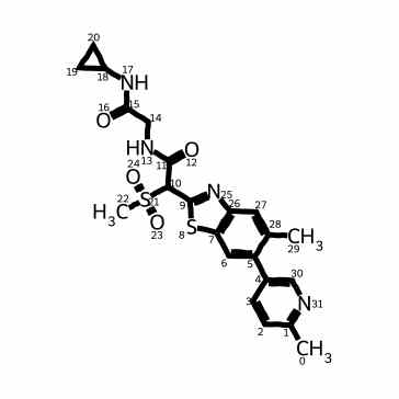 Cc1ccc(-c2cc3sc(C(C(=O)NCC(=O)NC4CC4)S(C)(=O)=O)nc3cc2C)cn1